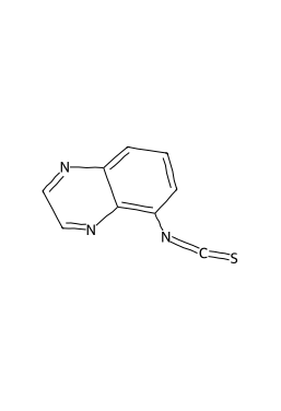 S=C=Nc1cccc2nccnc12